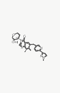 Cc1c(Cc2ccc(-c3ccn(C)n3)nc2)cc2c(=O)n([C@H]3CCOC[C@@H]3O)cnc2c1C